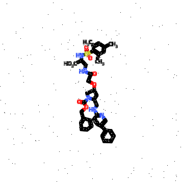 Cc1cc(C)c(S(=O)(=O)NC(CNC(=O)COC2CC(CNc3ccc(-c4ccccc4)cn3)N(C(=O)OCc3ccccc3)C2)C(=O)O)c(C)c1